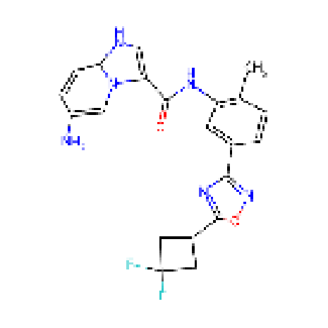 Cc1ccc(-c2noc(C3CC(F)(F)C3)n2)cc1NC(=O)C1=CNC2C=CC(N)=CN12